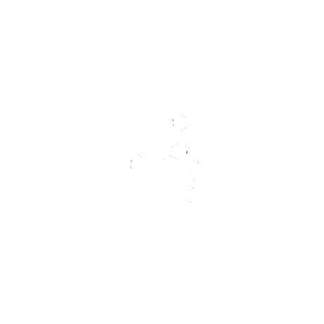 CC(=O)NCCNc1nc(-c2ccccc2)nc2[nH]c(/C=N/OC(C)(C)C)cc12